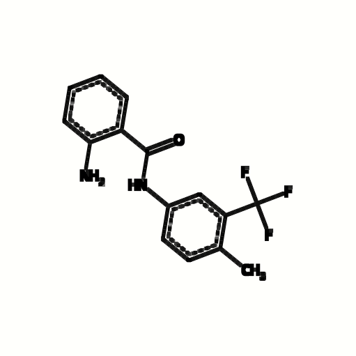 Cc1ccc(NC(=O)c2ccccc2N)cc1C(F)(F)F